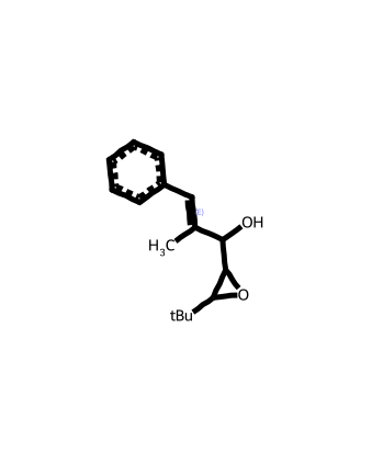 C/C(=C\c1ccccc1)C(O)C1OC1C(C)(C)C